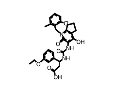 CCOc1cccc([C@H](CC(=O)O)NC(=O)Nc2c(O)c3c(n(Cc4c(C)cccc4Cl)c2=O)CCC3)c1